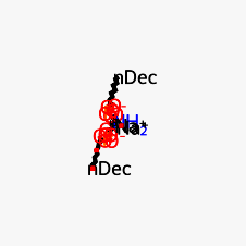 CCCCCCCCCCCCCCCCCC(=O)OP(=O)([O-])OC(=O)CC[C@H](N)C(=O)OP(=O)([O-])OC(=O)CCCCCCCCCCCCCCCCC.[Na+].[Na+]